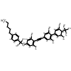 CCCCCc1ccc(C(F)(F)Oc2cc(F)c(C#Cc3cc(F)c(C4=CC(F)C(C(F)(F)F)C(F)=C4)c(F)c3)c(F)c2)cc1